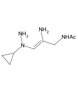 CC(=O)NC/C(N)=C/N(N)C1CC1